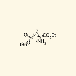 CCOC(=O)C1(N)CC1C(=O)OC(C)(C)C